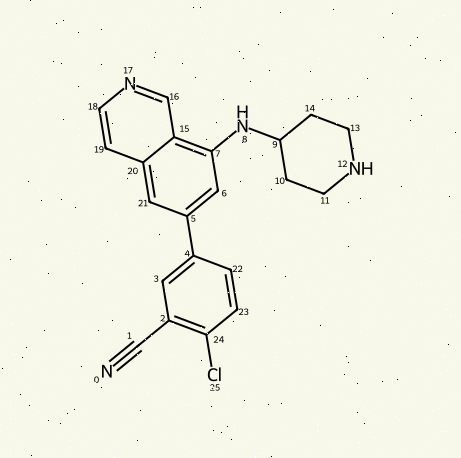 N#Cc1cc(-c2cc(NC3CCNCC3)c3cnccc3c2)ccc1Cl